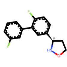 Fc1cccc(-c2cc([C@H]3CCON3)ccc2F)c1